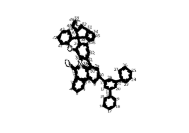 O=c1c2ccccc2c2cc(-c3cc(-c4ccccc4)cc(-c4ccccc4)c3)cc3c4ccc5c(c4n1c23)Oc1ccccc1C51c2ccccc2-c2ccccc21